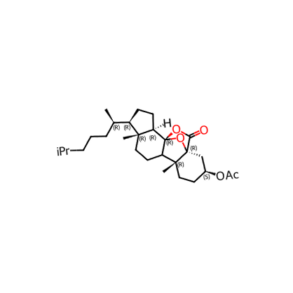 CC(=O)O[C@H]1CC[C@]2(C)C3CC[C@]4(C)[C@@H]([C@H](C)CCCC(C)C)CC[C@H]4[C@@]34OC(=O)[C@]2(C1)O4